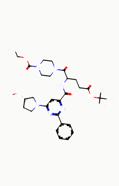 CCOC(=O)N1CCN(C(=O)C(CCC(=O)OC(C)(C)C)NC(=O)c2cc(N3CC[C@@H](OC)C3)nc(-c3ccccc3)n2)CC1